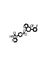 O=C1c2cccnc2[C@H](OC(=O)N2CCC(n3c(=O)[nH]c4ncccc43)CC2)CCC1c1cccc(F)c1F